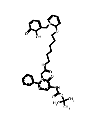 CC(C)(C)OC(=O)Nc1cnc(-c2ccccc2)n(CC(=O)NCCCCCCOC2C=CC=CN2CC2=CC=CC(=O)C2O)c1=O